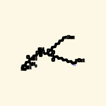 CCCCCCCC/C=C\CCCCCCCC(=O)OCC(COP(=O)(O)OCCNC(=O)C(N)Cc1cnc[nH]1)OC(=O)CCCCCCCCCCCCCCCCC